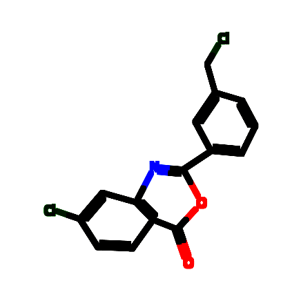 O=c1oc(-c2cccc(CCl)c2)nc2cc(Cl)ccc12